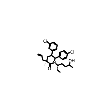 C=CC[C@@]1(C)CC(c2cccc(Cl)c2)C(c2ccc(Cl)cc2)N([C@@H](CC)CCC(C)O)C1=O